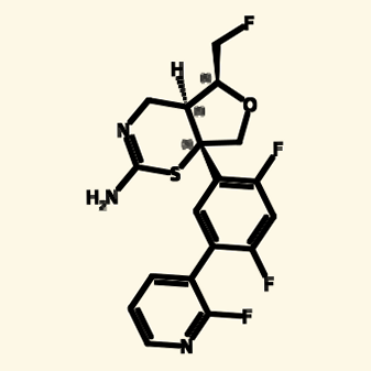 NC1=NC[C@H]2[C@@H](CF)OC[C@]2(c2cc(-c3cccnc3F)c(F)cc2F)S1